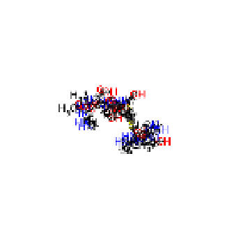 CCC[C@H](NC(=O)[C@H](Cc1c[nH]c2c1C=CCN2)NC(=O)C[C@@H](C)O)C(=O)N[C@@H](CCC(=O)O)C(=O)N[C@@H](Cc1ccc(O)cc1)C(=O)N[C@@H](CCC)C(=O)N[C@H](C(=O)N[C@H](CCO)CSCc1cccc(CSCCC(=O)N[C@H](C(=O)N[C@@H](Cc2ccc(O)cc2)C(=O)N[C@@H](Cc2cnc[nH]2)C(=O)NC)[C@@H](C)c2c[nH]c3ccccc23)c1)[C@@H](C)O